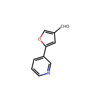 O=Cc1coc(-c2cccnc2)c1